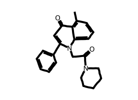 Cc1cccc2c1c(=O)cc(-c1ccccc1)n2CC(=O)N1CCCCC1